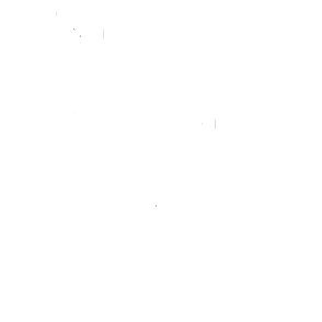 CCN(CC)CCOc1ccc(C2(c3ccc(O)c(O)c3)CC2(Cl)c2ccccc2)cc1